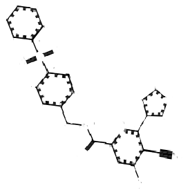 N#Cc1c(N)cc(C(=O)NCc2ccc(S(=O)(=O)c3ccccc3)cc2)nc1-c1ccsc1